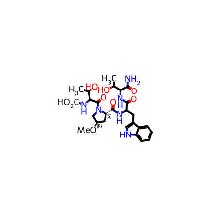 CO[C@@H]1C[C@@H](C(=O)NC(Cc2c[nH]c3ccccc23)C(=O)NC(C(N)=O)C(C)O)N(C(=O)C(NC(=O)O)C(C)O)C1